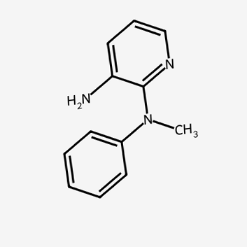 CN(c1ccccc1)c1ncccc1N